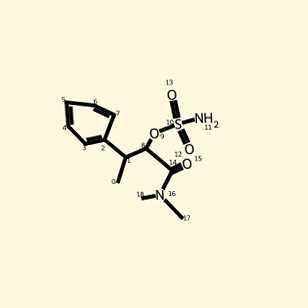 CC(c1ccccc1)C(OS(N)(=O)=O)C(=O)N(C)C